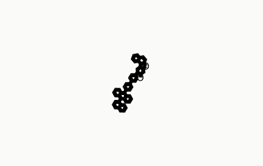 c1ccc2c(-c3c4ccccc4c(-c4ccc(-c5ccc6c(c5)oc5cc7oc8ccc9ccccc9c8c7cc56)cc4)c4ccccc34)cccc2c1